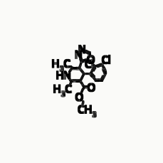 CCOC(=O)C1=C(C)NC(C)=C(c2nnco2)C1c1cccc(Cl)c1Cl